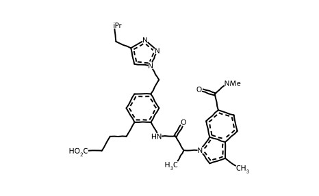 CNC(=O)c1ccc2c(C)cn(C(C)C(=O)Nc3cc(Cn4cc(CC(C)C)nn4)ccc3CCCC(=O)O)c2c1